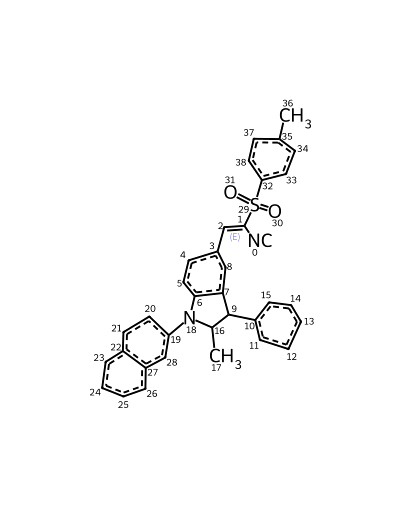 [C-]#[N+]/C(=C\c1ccc2c(c1)C(c1ccccc1)C(C)N2c1ccc2ccccc2c1)S(=O)(=O)c1ccc(C)cc1